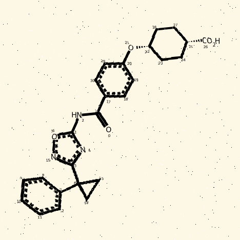 O=C(Nc1nc(C2(c3ccccc3)CC2)no1)c1ccc(O[C@H]2CC[C@@H](C(=O)O)CC2)cc1